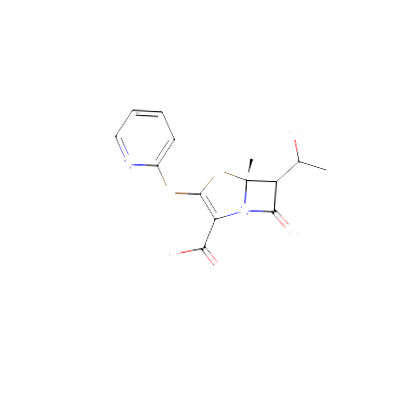 CC(O)C1C(=O)N2C(C(=O)O)=C(Sc3ccccn3)S[C@H]12